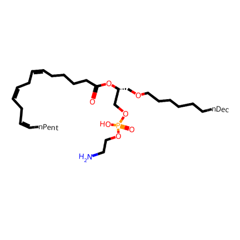 CCCCC/C=C\C/C=C\C/C=C\CCCCC(=O)O[C@H](COCCCCCCCCCCCCCCCC)COP(=O)(O)OCCN